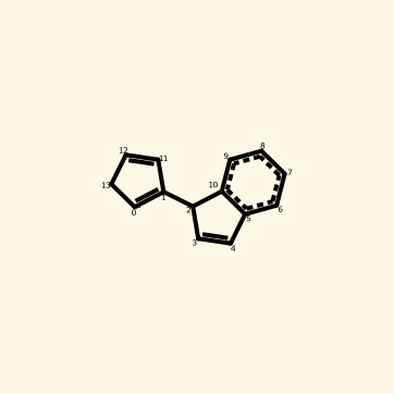 [C]1=C(C2C=Cc3ccccc32)C=CC1